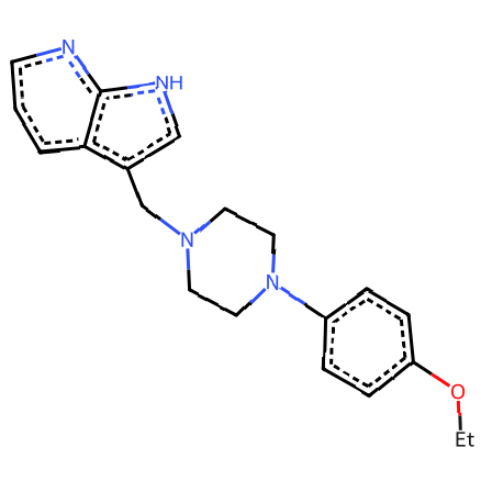 CCOc1ccc(N2CCN(Cc3c[nH]c4ncccc34)CC2)cc1